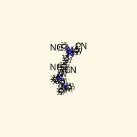 N#Cc1cccc(-c2cc(-c3ccc(-c4cc(C#N)c(-c5ccc(-n6c7ccccc7c7cc(N(c8ccccc8)c8ccccc8)ccc76)cc5)c(C#N)c4)cc3)nc(-c3cccc(C#N)c3)n2)c1